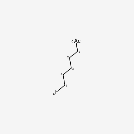 CC(=O)CCCCCF